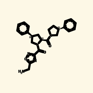 NCc1nc(C(=O)N2C[C@@H](c3ccccc3)C[C@H]2C(=O)N2CC[C@H](c3ccccc3)C2)no1